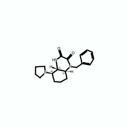 O=C1N[C@H]2[C@H](N3CCCC3)CCC[C@@H]2N(Cc2ccccc2)C1=O